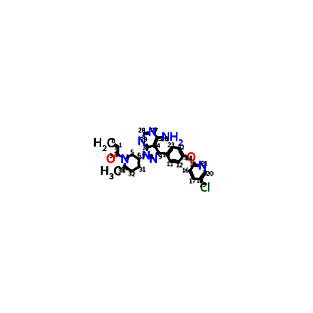 C=CC(=O)N1C[C@H](n2nc(-c3ccc(Oc4ccc(Cl)cn4)cc3)c3c(N)ncnc32)CC[C@@H]1C